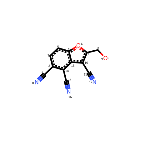 N#Cc1ccc2oc(C[O])c(C#N)c2c1C#N